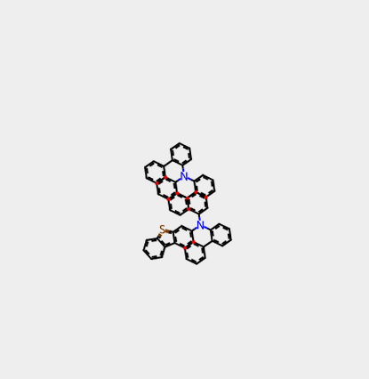 c1ccc(-c2ccccc2N(c2cccc(-c3ccccc3N(c3ccccc3-c3ccccc3)c3ccccc3-c3ccccc3)c2)c2ccc3c(c2)sc2ccccc23)cc1